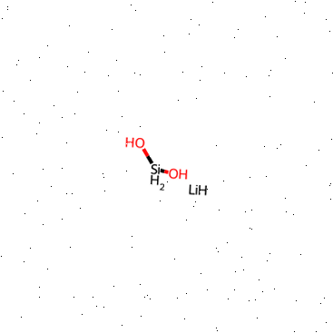 O[SiH2]O.[LiH]